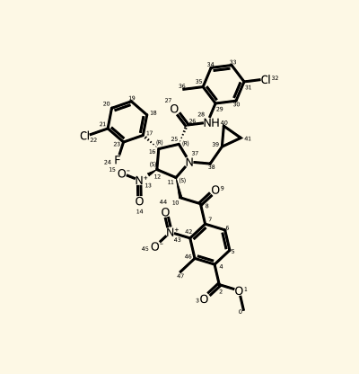 COC(=O)c1ccc(C(=O)C[C@H]2[C@@H]([N+](=O)[O-])[C@H](c3cccc(Cl)c3F)[C@H](C(=O)Nc3cc(Cl)ccc3C)N2CC2CC2)c([N+](=O)[O-])c1C